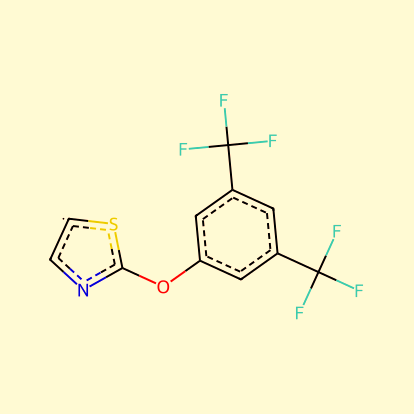 FC(F)(F)c1cc(Oc2nc[c]s2)cc(C(F)(F)F)c1